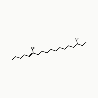 CCCCC=C(O)CCCCCCCCCC(O)CC